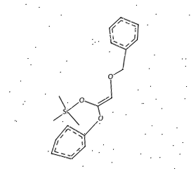 C[Si](C)(C)O/C(=C\OCc1ccccc1)Oc1ccccc1